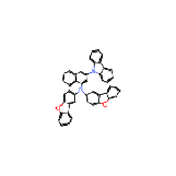 c1ccc2c(N(c3ccc4oc5ccccc5c4c3)c3ccc4oc5ccccc5c4c3)cc(-n3c4ccccc4c4ccccc43)cc2c1